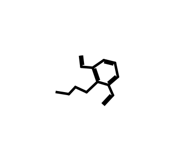 C=Cc1cccc(C=C)c1CCCC